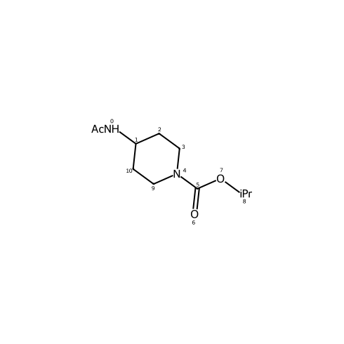 CC(=O)NC1CCN(C(=O)OC(C)C)CC1